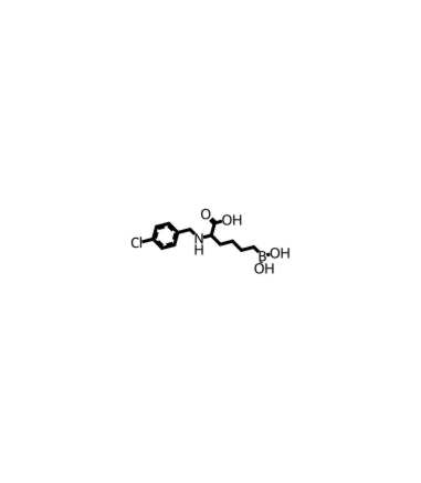 O=C(O)C(CCCCB(O)O)NCc1ccc(Cl)cc1